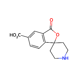 O=C(O)c1ccc2c(c1)C(=O)OC21CCNCC1